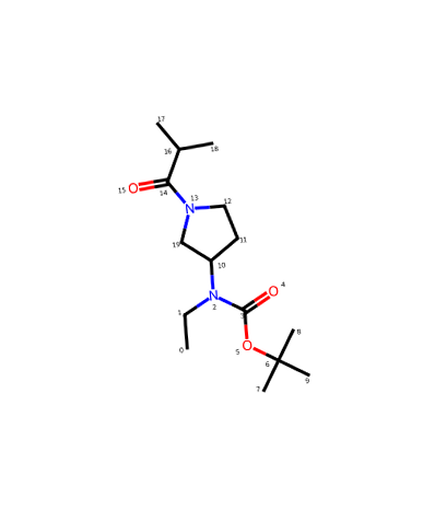 CCN(C(=O)OC(C)(C)C)C1CCN(C(=O)C(C)C)C1